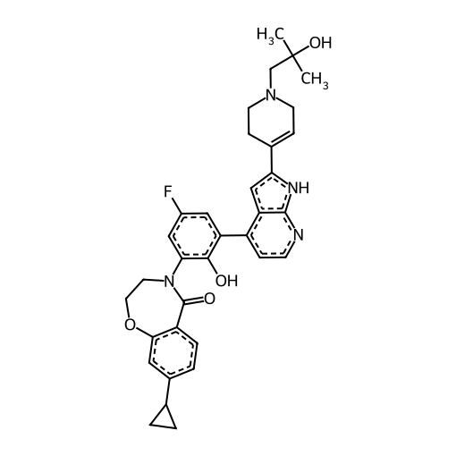 CC(C)(O)CN1CC=C(c2cc3c(-c4cc(F)cc(N5CCOc6cc(C7CC7)ccc6C5=O)c4O)ccnc3[nH]2)CC1